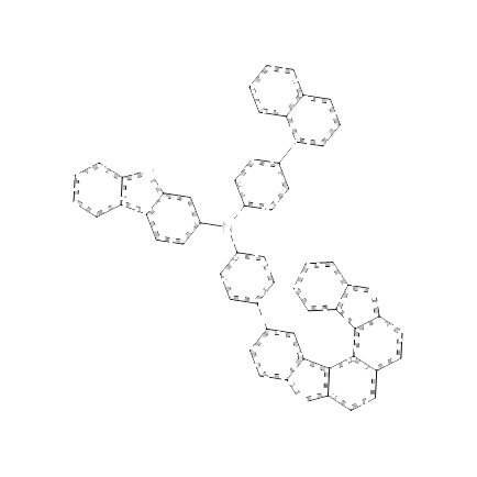 c1ccc2c(-c3ccc(N(c4ccc(-c5ccc6sc7ccc8ccc9sc%10ccccc%10c9c8c7c6c5)cc4)c4ccc5c(c4)oc4ccccc45)cc3)cccc2c1